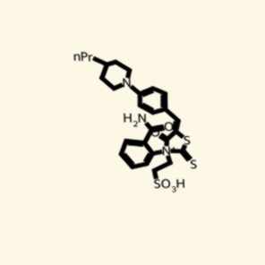 CCCC1CCN(c2ccc(C=C3SC(=S)[N+](CCS(=O)(=O)O)(c4ccccc4C(N)=O)C3=O)cc2)CC1